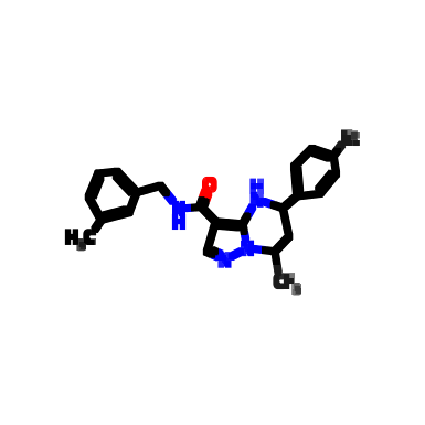 CCc1ccc(C2CC(C(F)(F)F)n3ncc(C(=O)NCc4cccc(C)c4)c3N2)cc1